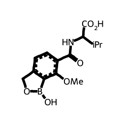 COc1c(C(=O)NC(C(=O)O)C(C)C)ccc2c1B(O)OC2